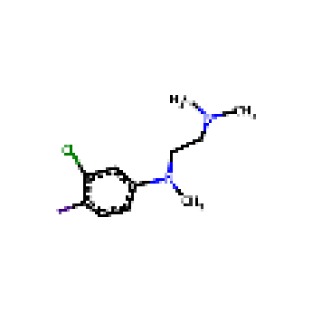 CN(C)CCN(C)c1ccc(I)c(Cl)c1